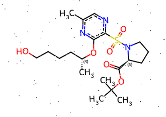 Cc1cnc(S(=O)(=O)N2CCC[C@H]2C(=O)OC(C)(C)C)c(O[C@H](C)CCCCO)n1